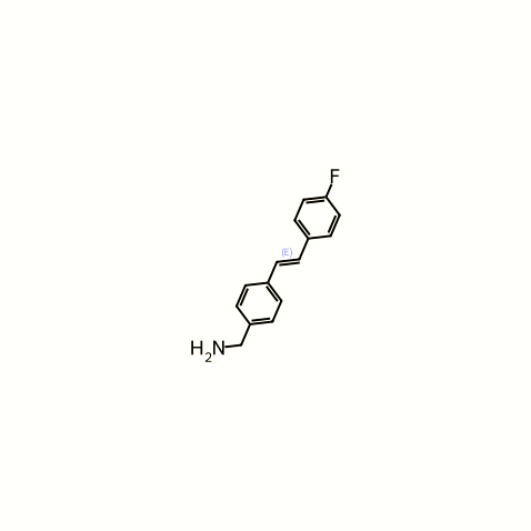 NCc1ccc(/C=C/c2ccc(F)cc2)cc1